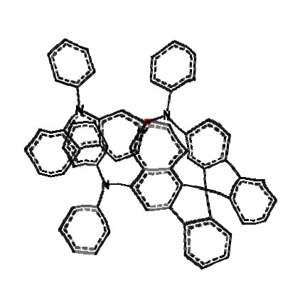 c1ccc(N(c2ccc3c(c2)C2(c4ccccc4-3)c3ccccc3-c3cc(N(c4ccccc4)c4ccccc4)c4ccccc4c32)c2ccc3c4ccccc4n(-c4ccccc4)c3c2)cc1